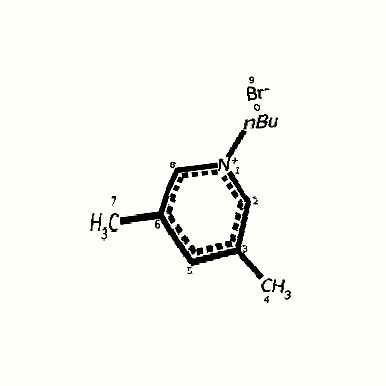 CCCC[n+]1cc(C)cc(C)c1.[Br-]